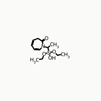 CCO[Si](O)(OCC)C(C)N1C=CC=CCC1=O